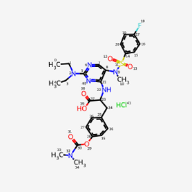 CCN(CC)c1ncc(N(C)S(=O)(=O)c2ccc(F)cc2)c(NC(Cc2ccc(OC(=O)N(C)C)cc2)C(=O)O)n1.Cl